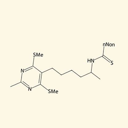 CCCCCCCCCC(=S)NC(C)CCCCc1c(SC)nc(C)nc1SC